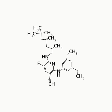 C#Cc1cc(F)c(NCC(C)CC(=C)CC(C)(C)C)nc1Nc1cc(CC)cc(CC)c1